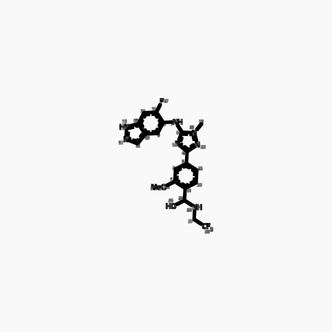 COc1cc(-c2nc(Nc3cc4cn[nH]c4cc3F)n(C)n2)ccc1C(O)NCC(F)(F)F